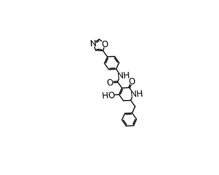 O=C(Nc1ccc(-c2cnco2)cc1)C1=C(O)CC(Cc2ccccc2)NC1=O